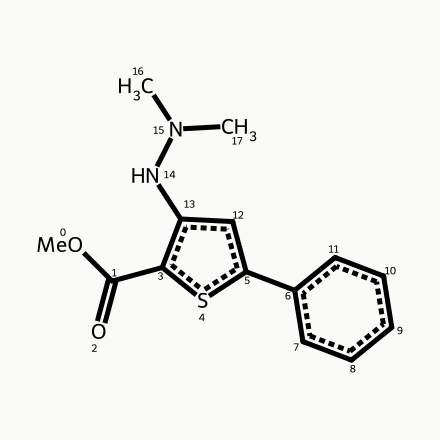 COC(=O)c1sc(-c2ccccc2)cc1NN(C)C